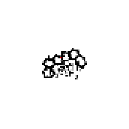 CC1=Cc2ccc3ccccc3c2[CH]1[Zr]([CH3])([CH3])([CH3])([CH3])(=[SiH2])[CH]1C(C)=Cc2ccc3ccccc3c21